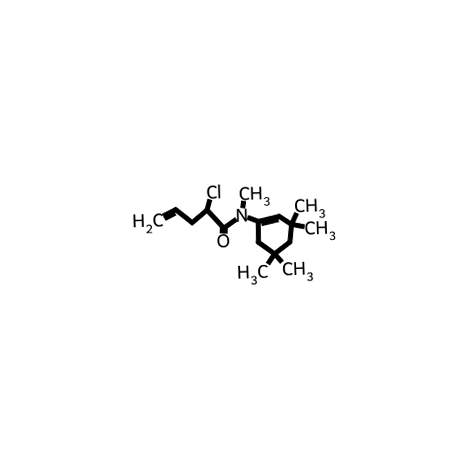 C=CCC(Cl)C(=O)N(C)C1=CC(C)(C)CC(C)(C)C1